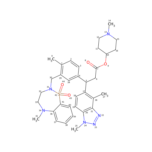 Cc1ccc(C(CC(=O)OC2CCN(C)CC2)c2ccc3c(nnn3C)c2C)cc1CN1CCN(C)c2ccccc2S1(=O)=O